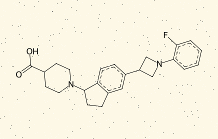 O=C(O)C1CCN(C2CCc3cc(C4CN(c5ccccc5F)C4)ccc32)CC1